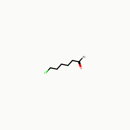 CC(=O)C(=O)CCCCCCl